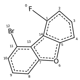 Fc1cccc2oc3cccc(Br)c3c12